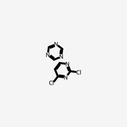 Clc1ccnc(Cl)n1.c1ncncn1